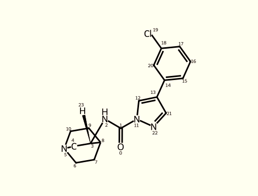 O=C(N[C@H]1CN2CCC1CC2)n1cc(-c2cccc(Cl)c2)cn1